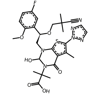 COc1ccc(F)cc1[C@H](CN1c2sc(-n3nccn3)c(C)c2C(=O)N(C(C)(C)C(=O)O)C1O)OCC(C)(C)C#N